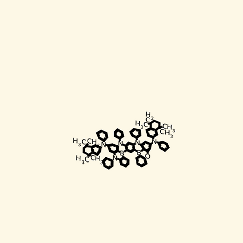 CC1(C)CCC(C)(C)c2cc(N(c3ccccc3)c3cc4c5c(c3)N(c3ccccc3)c3cc6c(cc3B5c3ccccc3O4)B3c4ccccc4N(c4ccccc4)c4cc(N(c5ccccc5)c5ccc7c(c5)C(C)(C)CCC7(C)C)cc(c43)N6c3ccccc3)ccc21